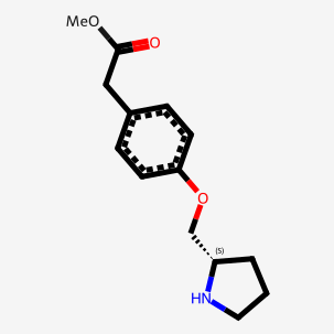 COC(=O)Cc1ccc(OC[C@@H]2CCCN2)cc1